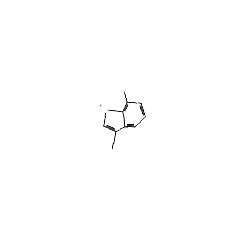 CCn1cc(C)c2cccc(C(=O)O)c21